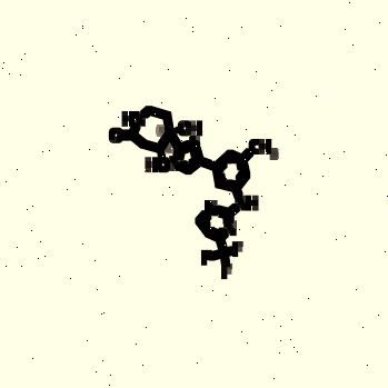 Cc1cc(Nc2nccc(C(F)(F)F)n2)cc(-c2cnc([C@]3(O)CCNC(=O)C[C@@H]3O)s2)c1